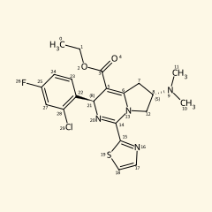 CCOC(=O)C1=C2C[C@H](N(C)C)CN2C(c2nccs2)=N[C@H]1c1ccc(F)cc1Cl